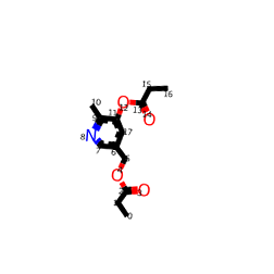 CCC(=O)OCc1cnc(C)c(OC(=O)CC)c1